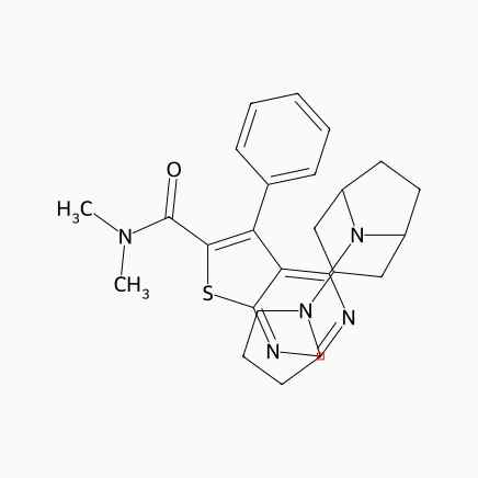 CN(C)C(=O)c1sc2ncnc(N3C4CCC3CC(N3CCCC3)C4)c2c1-c1ccccc1